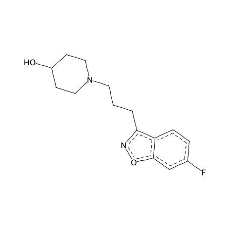 OC1CCN(CCCc2noc3cc(F)ccc23)CC1